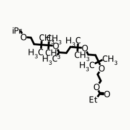 CCC(=O)OCCOC(C)(C)CCOC(C)(C)CCC(C)OC(C)(C)C(C)(C)CCOC(C)C